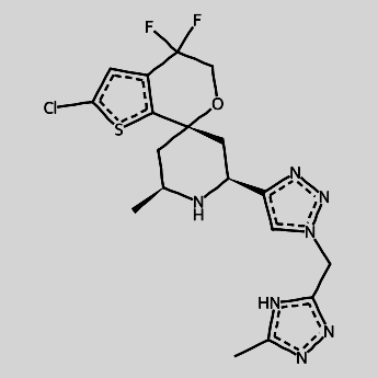 Cc1nnc(Cn2cc([C@@H]3C[C@]4(C[C@H](C)N3)OCC(F)(F)c3cc(Cl)sc34)nn2)[nH]1